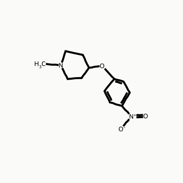 CN1CCC(Oc2ccc([N+](=O)[O-])cc2)CC1